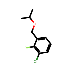 CC(C)OCc1cccc(Cl)c1F